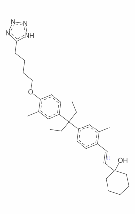 CCC(CC)(c1ccc(/C=C/C2(O)CCCCC2)c(C)c1)c1ccc(OCCCCc2nnn[nH]2)c(C)c1